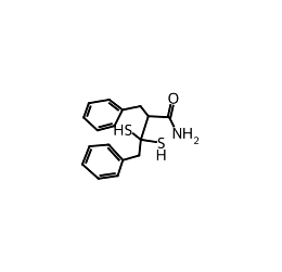 NC(=O)C(Cc1ccccc1)C(S)(S)Cc1ccccc1